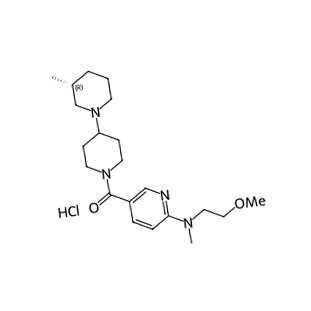 COCCN(C)c1ccc(C(=O)N2CCC(N3CCC[C@@H](C)C3)CC2)cn1.Cl